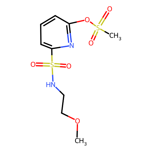 COCCNS(=O)(=O)c1cccc(OS(C)(=O)=O)n1